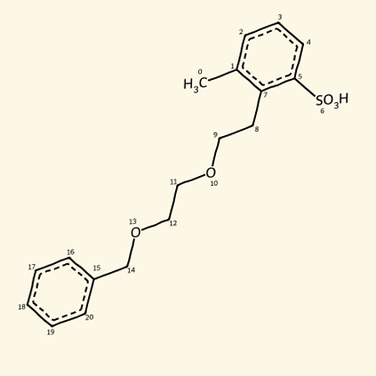 Cc1cccc(S(=O)(=O)O)c1CCOCCOCc1ccccc1